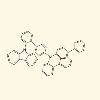 c1ccc(-c2ccc(N(c3ccc(-c4ccccc4-n4c5ccccc5c5ccccc54)cc3)c3ccccc3-c3ccccc3)cc2)cc1